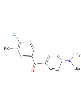 CC(C)(C)N(C(=O)O)c1ccc(C(=O)c2ccc(Cl)c(C(F)(F)F)c2)cc1